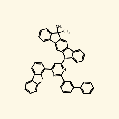 CC1(C)c2ccccc2-c2cc3c(cc21)c1ccccc1n3-c1cc(-c2cccc3c2oc2ccccc23)nc(-c2cccc(-c3ccccc3)c2)n1